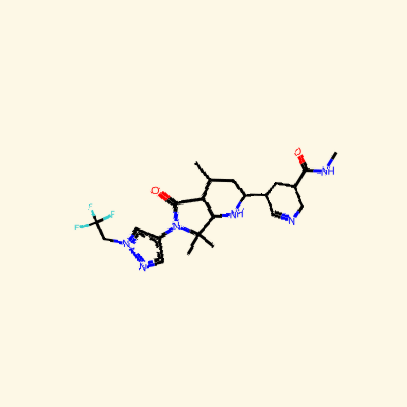 CNC(=O)C1CN=CC(C2CC(C)C3C(=O)N(c4cnn(CC(F)(F)F)c4)C(C)(C)C3N2)C1